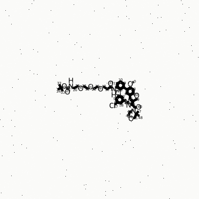 COc1cc2c(cc1-c1cccc(NC(=O)CCOCCOCCOCCNC(=O)OC(C)(C)C)c1)-c1c(c(C(=O)N3CCOCC3(C)C)nn1-c1cc(Cl)cc(Cl)c1)CO2